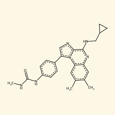 CNC(=O)Nc1ccc(-c2cnc3c(NCC4CC4)nc4cc(C)c(C)cc4n23)cc1